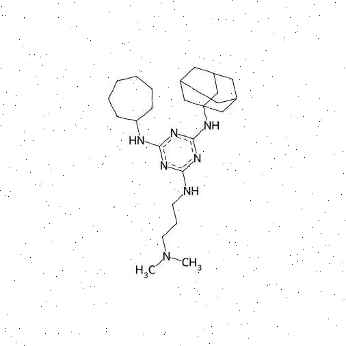 CN(C)CCCNc1nc(NC2CCCCCC2)nc(NC23CC4CC(CC(C4)C2)C3)n1